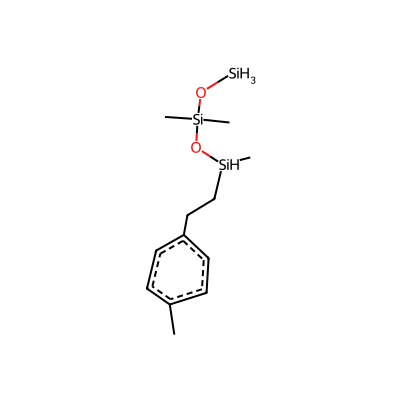 Cc1ccc(CC[SiH](C)O[Si](C)(C)O[SiH3])cc1